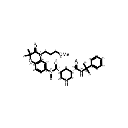 COCCCN1C(=O)C(C)(C)Oc2ccc(N(C)C(=O)[C@H]3CNC[C@@H](C(=O)NC(C)(C)c4ccccc4)C3)cc21